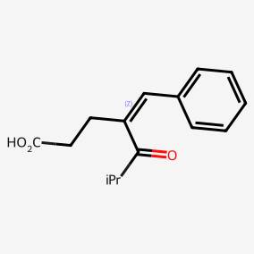 CC(C)C(=O)/C(=C\c1ccccc1)CCC(=O)O